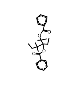 CCC(C)(C)C(CC)(OC(=O)c1ccccc1)C(C)(C)OC(=O)c1ccccc1